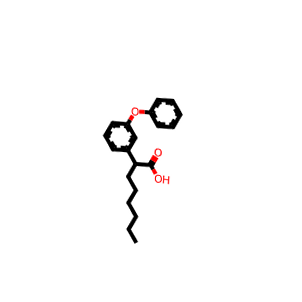 CCCCCCC(C(=O)O)c1cccc(Oc2ccccc2)c1